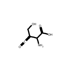 NC(C(=O)O)C(=C=O)CO